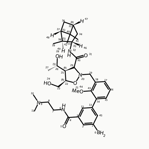 Bc1cc(C(=O)NCCN(C)C)cc(-c2cccc(CN3O[C@@H](CO)[C@@H]([C@H](C)O)C3C(=O)N[C@H]3C[C@H]4C[C@@H]([C@@H]3C)C4(C)C)c2OC)c1